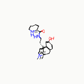 C[C@H]1[C@H]2Cc3ccc(O)cc3[C@]1(CCNC(=O)[C@@H]1CCCCN1)CCN2C